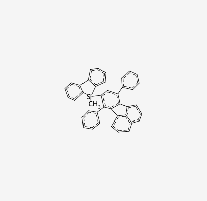 C[Si]1(c2cc(-c3ccccc3)c3c(c2-c2ccccc2)-c2cccc4cccc-3c24)c2ccccc2-c2ccccc21